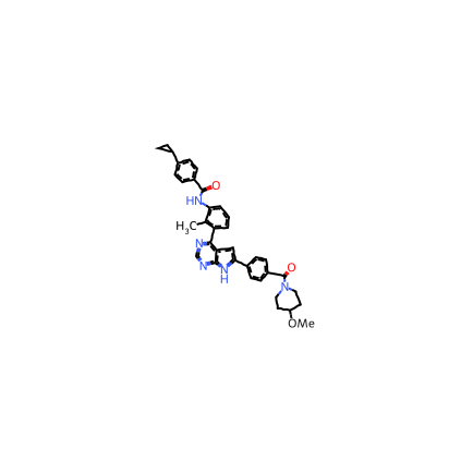 COC1CCN(C(=O)c2ccc(-c3cc4c(-c5cccc(NC(=O)c6ccc(C7CC7)cc6)c5C)ncnc4[nH]3)cc2)CC1